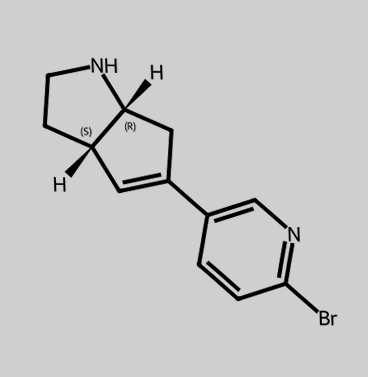 Brc1ccc(C2=C[C@@H]3CCN[C@@H]3C2)cn1